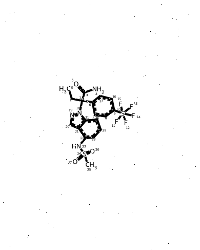 CCC(C(N)=O)(c1ccc(S(F)(F)(F)(F)F)cc1)n1ncc2c(NS(C)(=O)=O)cccc21